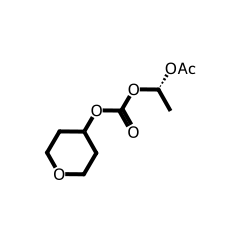 CC(=O)O[C@H](C)OC(=O)OC1CCOCC1